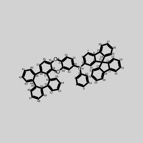 c1ccc(N(c2ccc3c(c2)C2(c4ccccc4-c4ccccc42)c2ccccc2-3)c2ccc3oc4ccc5c6ccccc6c6ccccc6c6ccccc6c5c4oc3c2)cc1